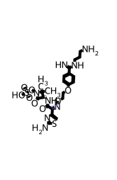 CC1(C)[C@H](NC(=O)/C(=N\OCCOc2ccc(C(=N)NCCCN)cc2)c2csc(N)n2)C(=O)N1OS(=O)(=O)O